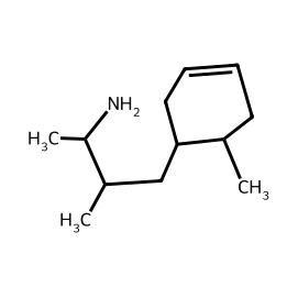 CC(N)C(C)CC1CC=CCC1C